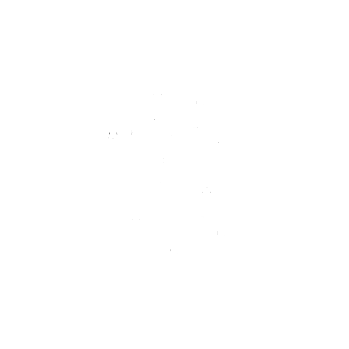 COC(=O)C(OC)C(=O)[O-].COC(=O)C(OC)C(=O)[O-].[Mg+2]